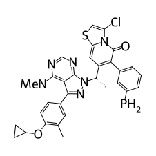 CNc1ncnc2c1c(-c1ccc(OC3CC3)c(C)c1)nn2[C@@H](C)c1cc2scc(Cl)n2c(=O)c1-c1cccc(P)c1